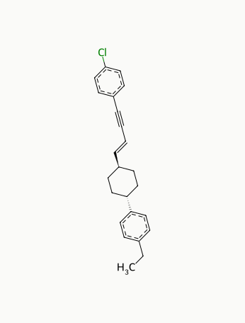 CCc1ccc([C@H]2CC[C@H](C=CC#Cc3ccc(Cl)cc3)CC2)cc1